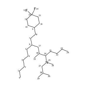 CCCCCCC(CCC1CCC(F)(F)CC1)CC(C)C(CCCC)N(C)CC(C)C